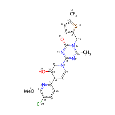 COc1nc(C2C=CN(c3nc(C)n(Cc4ccc(C(F)(F)F)s4)c(=O)n3)C[C@@H]2O)ccc1Cl